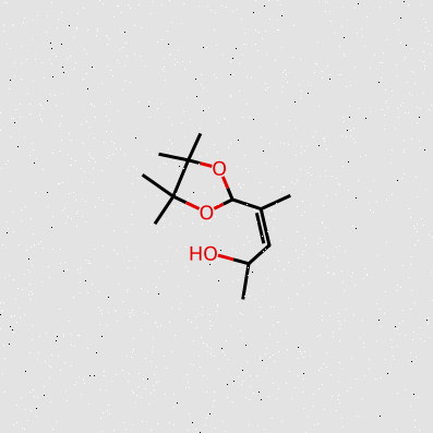 C/C(=C/C(C)O)C1OC(C)(C)C(C)(C)O1